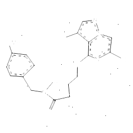 COc1ccc([C@@H](C)N2C[C@H]([C@@H](C)Oc3nc(Cl)cn4ncc(C)c34)CC2=O)cc1